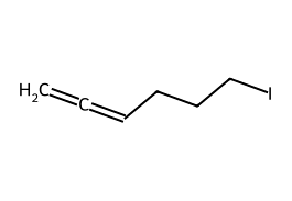 C=C=CCCCI